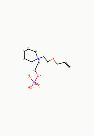 C=CCOCC[N+]1(CCOP(=O)([O-])O)CCCCC1